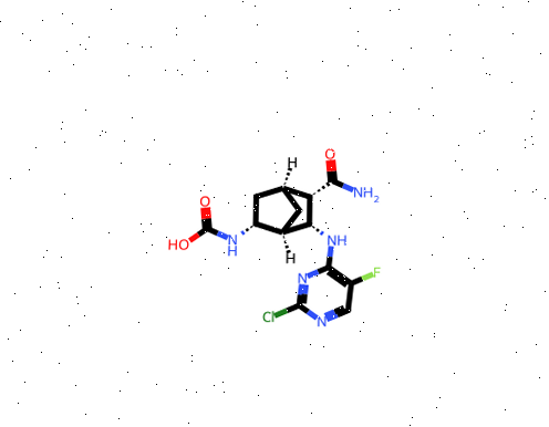 NC(=O)[C@H]1[C@H]2C[C@@H]([C@H]1Nc1nc(Cl)ncc1F)[C@H](NC(=O)O)C2